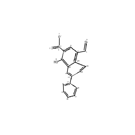 O=Cc1cc([N+](=O)[O-])c(O)c2cc(-c3ccccc3)ccc12